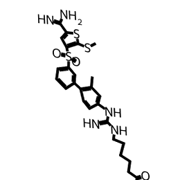 CSc1sc(C(=N)N)cc1S(=O)(=O)c1cccc(-c2ccc(NC(=N)NCCCCCC(=O)O)cc2C)c1